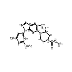 COc1nc(Cl)cc(-n2ncc3cc(C)c(C4CCN(C(=O)OC(C)(C)C)CC4F)cc32)n1